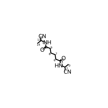 CC(C#N)NC(=O)CCCCC(=O)NC(C)C#N